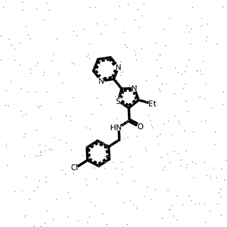 CCc1nc(-c2ncccn2)sc1C(=O)NCc1ccc(Cl)cc1